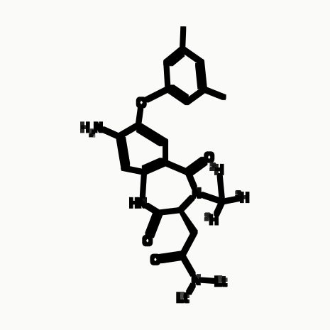 [2H]C([2H])([2H])N1C(=O)c2cc(Oc3cc(C)cc(C)c3)c(N)cc2NC(=O)[C@@H]1CC(=O)N(CC)CC